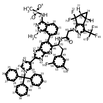 Cn1nc(NS(C)(=O)=O)c2cccc(-c3cc4sc(-c5cn(C(c6ccccc6)(c6ccccc6)c6ccccc6)cn5)nc4nc3[C@H](Cc3cc(F)cc(F)c3)NC(=O)Cn3nc(C(F)(F)F)c4c3C(F)(F)[C@@H]3C[C@H]43)c21